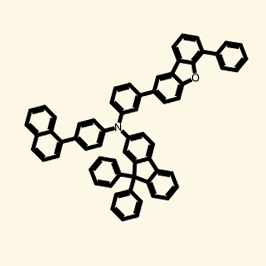 c1ccc(-c2cccc3c2oc2ccc(-c4cccc(N(c5ccc(-c6cccc7ccccc67)cc5)c5ccc6c(c5)C(c5ccccc5)(c5ccccc5)c5ccccc5-6)c4)cc23)cc1